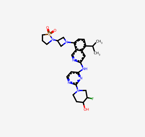 CC(C)c1ccc(N2CC(N3CCCS3(=O)=O)C2)c2cnc(Nc3ccnc(N4CCC(O)C(F)C4)n3)cc12